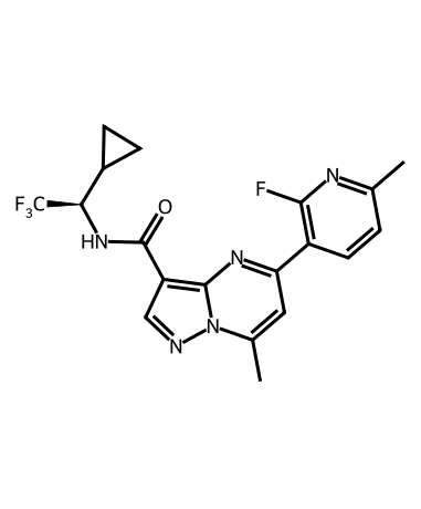 Cc1ccc(-c2cc(C)n3ncc(C(=O)N[C@H](C4CC4)C(F)(F)F)c3n2)c(F)n1